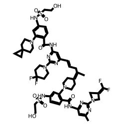 CC(C/C=C/c1cc(NC(=O)c2ccc(NS(=O)(=O)CCO)cc2N2CCC3(CC2)CC3)nc(N2CCC(F)(F)CC2)n1)=C1CCN(c2cc(NS(=O)(=O)CCO)ccc2C(=O)Nc2cc(C)nc(N3CC(=C(F)F)C3)n2)CC1